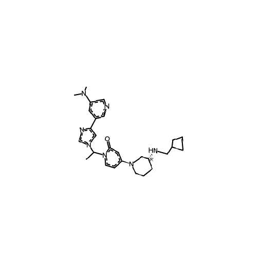 CC(n1cnc(-c2cncc(N(C)C)c2)c1)n1ccc(N2CCC[C@@H](NCC3CCC3)C2)cc1=O